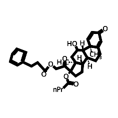 CCCC(=O)O[C@]1(C(=O)COC(=O)CCc2ccccc2)CC[C@H]2[C@@H]3CCC4=CC(=O)C=C[C@]4(C)[C@H]3C(O)C[C@@]21C